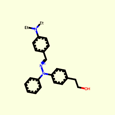 CCN(CC)c1ccc(/C=N/N(c2ccccc2)c2ccc(CCO)cc2)cc1